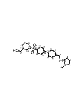 C[C@@H]1CCCN1CCc1ccc(-c2ccc(S(=O)(=O)N3CCCC(CO)C3)cc2)cc1